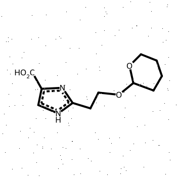 O=C(O)c1c[nH]c(CCOC2CCCCO2)n1